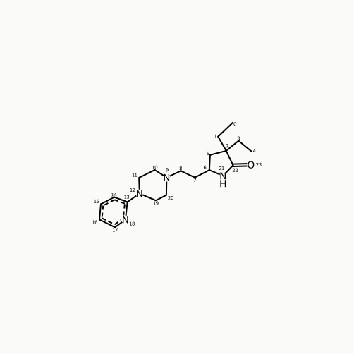 CCC1(CC)CC(CCN2CCN(c3ccccn3)CC2)NC1=O